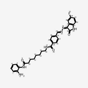 Nc1ccccc1NC(=O)CCCCCCCNC(=O)c1ccc(/C=N/N=C2\C(=O)Nc3ccc(F)cc32)cc1